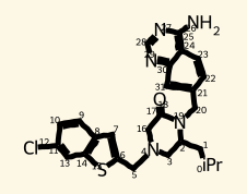 CC(C)CC1CN(Cc2cc3ccc(Cl)cc3s2)CC(=O)N1Cc1ccc2c(N)ncnc2c1